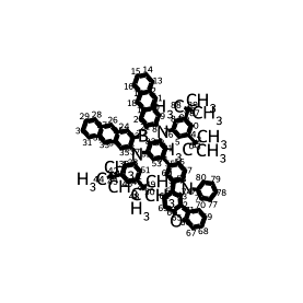 CC(C)(C)c1cc(N2c3cc4cc5ccccc5cc4cc3B3c4cc5cc6ccccc6cc5cc4N(c4cc(C(C)(C)C)cc(C(C)(C)C)c4)c4cc(-c5ccc6c(c5)c5ccc7oc8ccccc8c7c5n6-c5ccccc5)cc2c43)cc(C(C)(C)C)c1